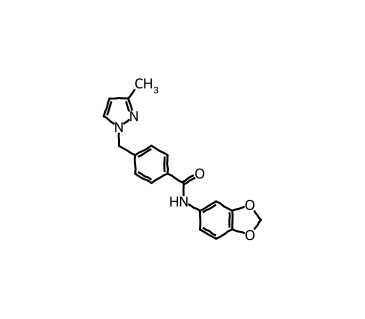 Cc1ccn(Cc2ccc(C(=O)Nc3ccc4c(c3)OCO4)cc2)n1